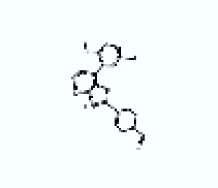 COc1ccc(F)cc1-c1ccnc2[nH]c(C3=CCN(C=O)CC3)cc12